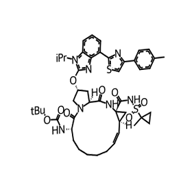 Cc1ccc(-c2csc(-c3cccc4c3nc(O[C@@H]3C[C@H]5C(=O)N[C@]6(C(=O)NS(=O)(=O)C7(C)CC7)C[C@H]6/C=C\CCCCC[C@H](NC(=O)OC(C)(C)C)C(=O)N5C3)n4C(C)C)n2)cc1